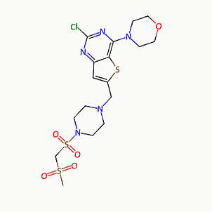 CS(=O)(=O)CS(=O)(=O)N1CCN(Cc2cc3nc(Cl)nc(N4CCOCC4)c3s2)CC1